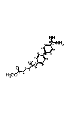 COC(=O)CCC[S+]([O-])Cc1ccc(-c2ccc(C(=N)N)cc2)cc1